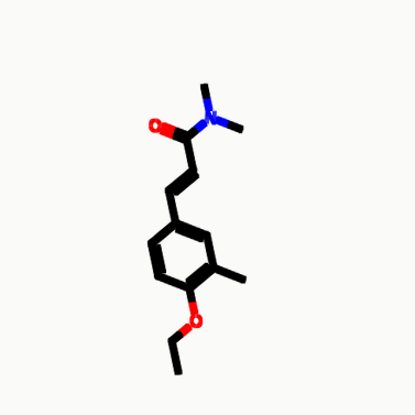 CCOc1ccc(C=CC(=O)N(C)C)cc1C